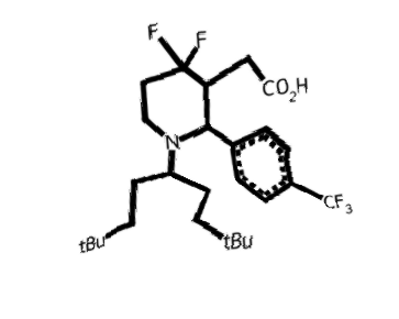 CC(C)(C)CCC(CCC(C)(C)C)N1CCC(F)(F)C(CC(=O)O)C1c1ccc(C(F)(F)F)cc1